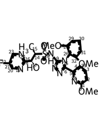 COc1cccc(-c2nnc(NS(=O)(=O)[C@H](C)[C@H](O)c3ncc(F)cn3)n2-c2c(OC)cccc2OC)n1